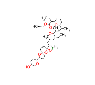 C#CCOC(=O)C(CC)C1CCCC(C(C)CC(C)C(=O)C(CC)CC(C)CC(C)C2(OF)C=CCC3(CCC(C4CCC(O)CO4)O3)O2)O1